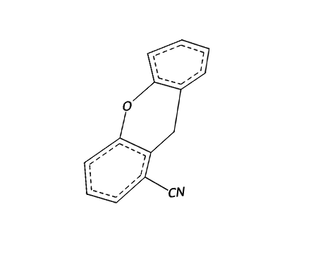 N#Cc1cccc2c1Cc1ccccc1O2